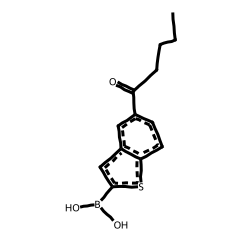 CCCCC(=O)c1ccc2sc(B(O)O)cc2c1